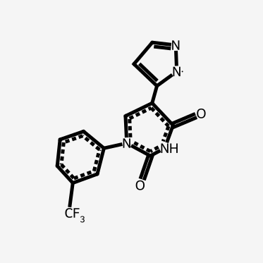 O=c1[nH]c(=O)n(-c2cccc(C(F)(F)F)c2)cc1C1=CC=N[N]1